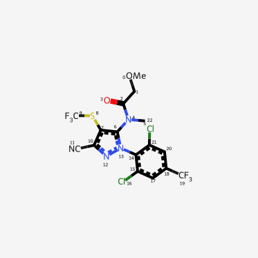 COCC(=O)N(C)c1c(SC(F)(F)F)c(C#N)nn1-c1c(Cl)cc(C(F)(F)F)cc1Cl